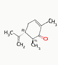 C=C(C)[C@@H]1CC=C(C)C(=O)[C@H]1C